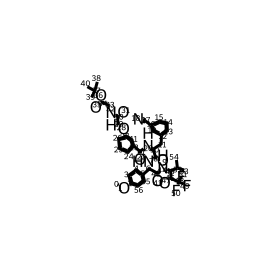 COc1ccc(C(NC(=O)C(Cc2cccc(C#N)c2)NC(=O)c2cccc(OCC(=O)NCC(=O)OC(C)(C)C)c2)C(=O)NC(C(=O)C(F)(F)F)C(C)C)cc1